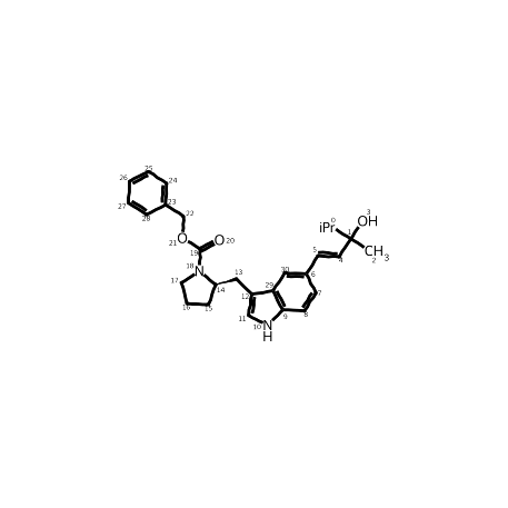 CC(C)C(C)(O)/C=C/c1ccc2[nH]cc(C[C@H]3CCCN3C(=O)OCc3ccccc3)c2c1